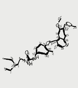 CCN(CC)CCNC(=O)Nc1ccc(Oc2ccnc3cc(OC)c(OC)cc23)c(C)c1